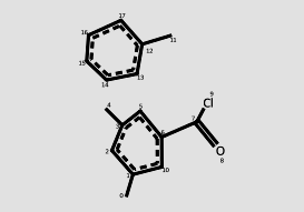 Cc1cc(C)cc(C(=O)Cl)c1.Cc1ccccc1